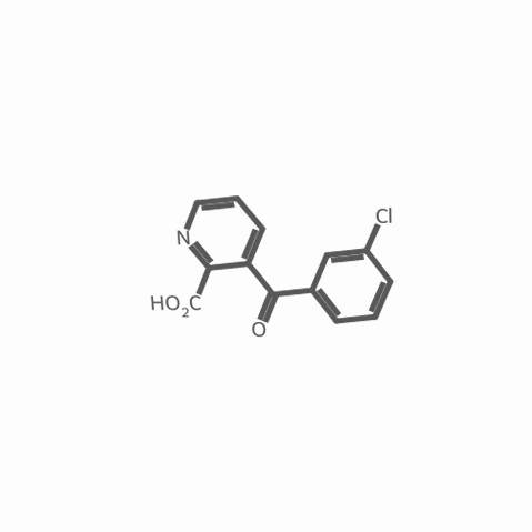 O=C(c1cccc(Cl)c1)c1cccnc1C(=O)O